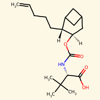 C=CCCC[C@@H]1C2CC(C2)C[C@H]1OC(=O)N[C@H](C(=O)O)C(C)(C)C